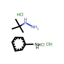 CC(C)(C)NN.Cc1ccccc1.Cl.Cl.Cl.[NaH]